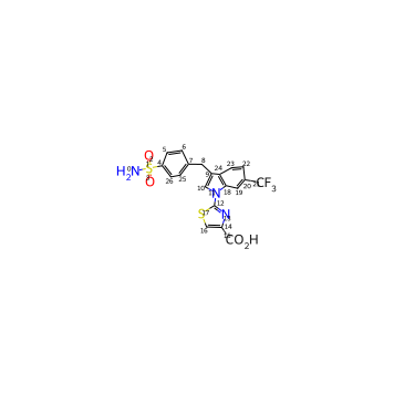 NS(=O)(=O)c1ccc(Cc2cn(-c3nc(C(=O)O)cs3)c3cc(C(F)(F)F)ccc23)cc1